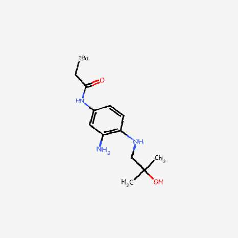 CC(C)(C)CC(=O)Nc1ccc(NCC(C)(C)O)c(N)c1